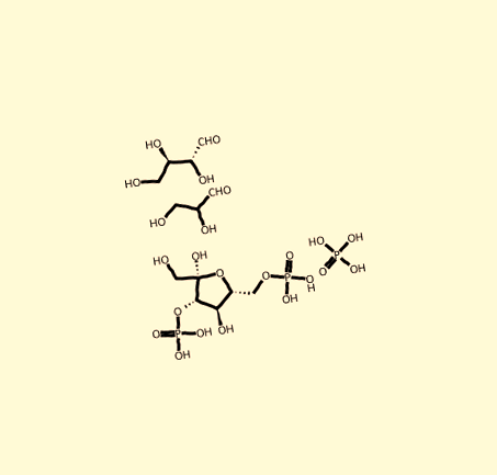 O=CC(O)CO.O=C[C@H](O)[C@H](O)CO.O=P(O)(O)O.O=P(O)(O)OC[C@H]1O[C@](O)(CO)[C@@H](OP(=O)(O)O)[C@@H]1O